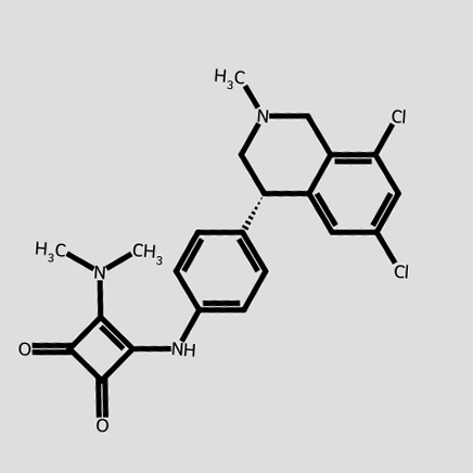 CN1Cc2c(Cl)cc(Cl)cc2[C@H](c2ccc(Nc3c(N(C)C)c(=O)c3=O)cc2)C1